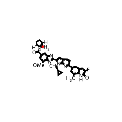 COc1cc(C(=O)N2C[C@H]3CC[C@@H]2[C@@H]3N)cc2nc(-c3cc4ccc(-c5cc(C)c6[nH]c(=O)c(F)cc6c5)nc4n3CC3CC3)n(C)c12